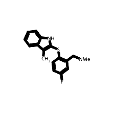 CNCc1cc(F)ccc1Sc1[nH]c2ccccc2c1C